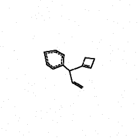 C=CC(C1=CCC1)c1ccccc1